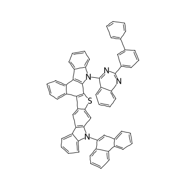 c1ccc(-c2cccc(-c3nc(-n4c5ccccc5c5c6ccccc6c6c7cc8c9ccccc9n(-c9cc%10ccccc%10c%10ccccc9%10)c8cc7sc6c54)c4ccccc4n3)c2)cc1